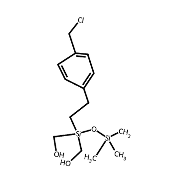 C[Si](C)(C)O[Si](CO)(CO)CCc1ccc(CCl)cc1